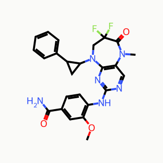 COc1cc(C(N)=O)ccc1Nc1ncc2c(n1)N(C1CC1c1ccccc1)CC(F)(F)C(=O)N2C